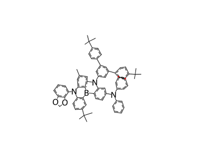 Cc1cc2c3c(c1)N(c1cccc4c1OCO4)c1ccc(C(C)(C)C)cc1B3c1ccc(N(c3ccccc3)c3ccccc3)cc1N2c1cc(-c2ccc(C(C)(C)C)cc2)cc(-c2ccc(C(C)(C)C)cc2)c1